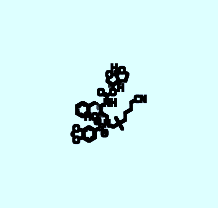 CC(C)(CCCCC#N)CN(C[C@@H](O)[C@H](Cc1ccccc1)NC(=O)O[C@H]1CO[C@H]2OCC[C@H]21)S(=O)(=O)c1ccc2c(c1)OCO2